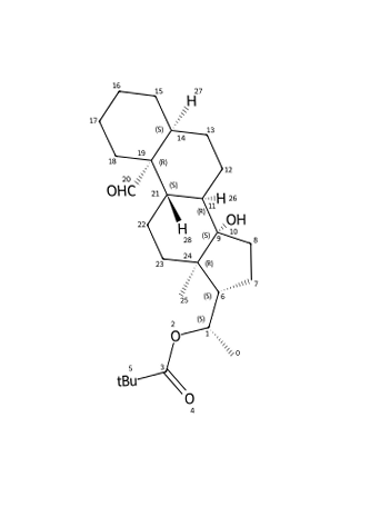 C[C@H](OC(=O)C(C)(C)C)[C@H]1CC[C@]2(O)[C@@H]3CC[C@@H]4CCCC[C@]4(C=O)[C@H]3CC[C@]12C